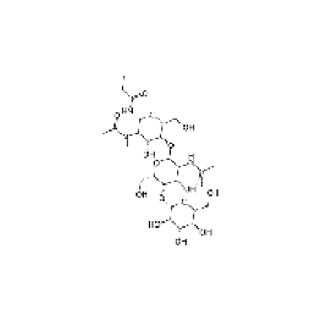 CCC(=O)N[C@@H]1OC(CO)[C@@H](O[C@@H]2O[C@@H](CO)[C@@H](O[C@@H]3OC(CO)[C@@H](O)[C@H](O)C3O)C(O)C2NC(C)=O)[C@H](O)C1NC(C)=O